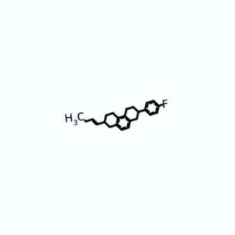 CC/C=C/C1CCc2c(ccc3c2CCC(c2ccc(F)cc2)C3)C1